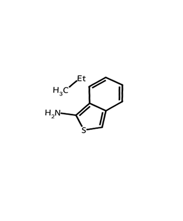 CCC.Nc1scc2ccccc12